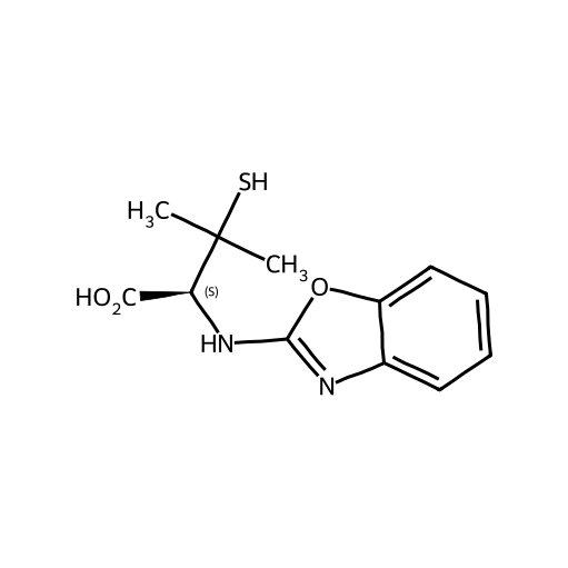 CC(C)(S)[C@@H](Nc1nc2ccccc2o1)C(=O)O